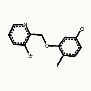 Clc1ccc(I)c(OCc2ncccc2Br)c1